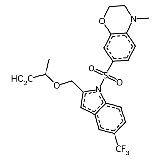 CC(OCc1cc2cc(C(F)(F)F)ccc2n1S(=O)(=O)c1ccc2c(c1)OCCN2C)C(=O)O